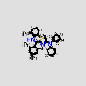 CC(C)c1cc(C(C)C)c(C(Nc2c(C(C)C)cccc2C(C)C)c2nc(N(c3ccccc3)c3ccccc3)cs2)c(C(C)C)c1